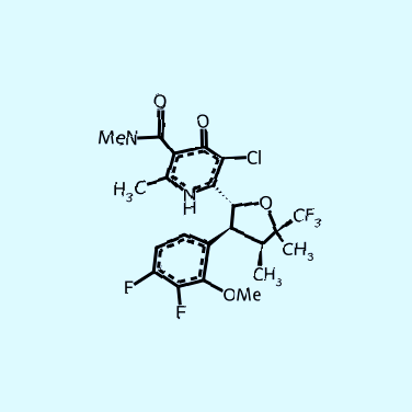 CNC(=O)c1c(C)[nH]c([C@@H]2O[C@@](C)(C(F)(F)F)[C@@H](C)[C@H]2c2ccc(F)c(F)c2OC)c(Cl)c1=O